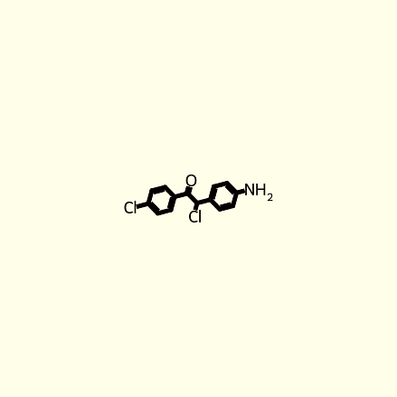 Nc1ccc(C(Cl)C(=O)c2ccc(Cl)cc2)cc1